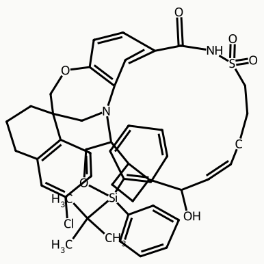 CC(C)(C)[Si](OCC1C2CCC2C(O)C=CCCCS(=O)(=O)NC(=O)c2ccc3c(c2)N1CC1(CCCc2cc(Cl)ccc21)CO3)(c1ccccc1)c1ccccc1